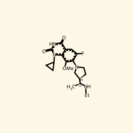 CCN[C@@H](C)[C@@H]1CCN(c2c(F)cc3c(=O)[nH]c(=O)n(C4CC4)c3c2OC)C1